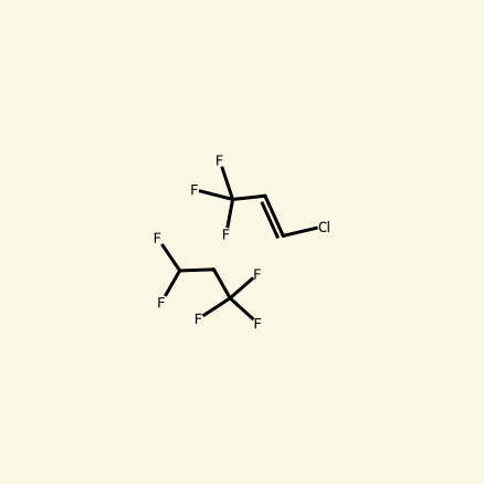 FC(F)(F)C=CCl.FC(F)CC(F)(F)F